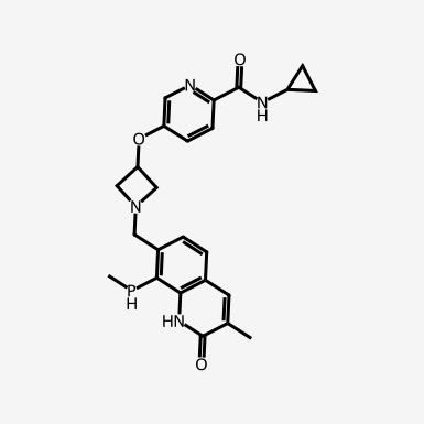 CPc1c(CN2CC(Oc3ccc(C(=O)NC4CC4)nc3)C2)ccc2cc(C)c(=O)[nH]c12